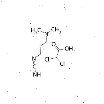 CN(C)CCCN=C=N.O=C(O)C(Cl)Cl